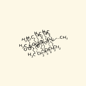 CCCC[Si](CCCC)(CCCC)O[Si](CCCC)(CCCC)O[Si](CCCC)(CCCC)O[Si](CCCC)(CCCC)O[Si](CCCC)(CCCC)O[Si](CCCC)(CCCC)OC(C)=O